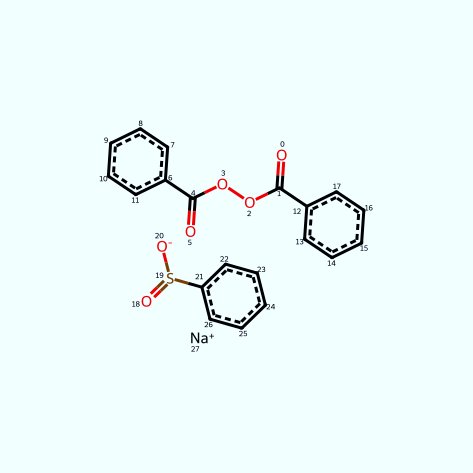 O=C(OOC(=O)c1ccccc1)c1ccccc1.O=S([O-])c1ccccc1.[Na+]